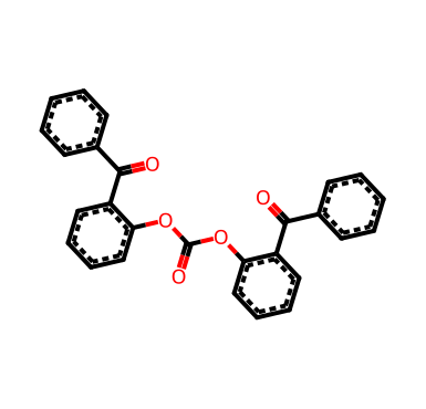 O=C(Oc1ccccc1C(=O)c1ccccc1)Oc1ccccc1C(=O)c1ccccc1